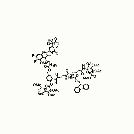 CC[C@@]1(O)C(=O)OCc2c1cc1n(c2=O)Cc2c-1nc1cc(F)c(F)c(OC)c1c2CCN(C(=O)OCc1ccc(O[C@@H]2O[C@H](C(=O)OC)[C@@H](OC(C)=O)[C@H](OC(C)=O)[C@H]2OC(C)=O)c(NC(=O)CCNC(=O)[C@H](CCCC(=O)N[C@@H]2O[C@H](C(=O)OC)[C@@H](OC(C)=O)[C@H](OC(C)=O)[C@H]2OC(C)=O)NC(=O)OCC2c3ccccc3-c3ccccc32)c1)C(C)C